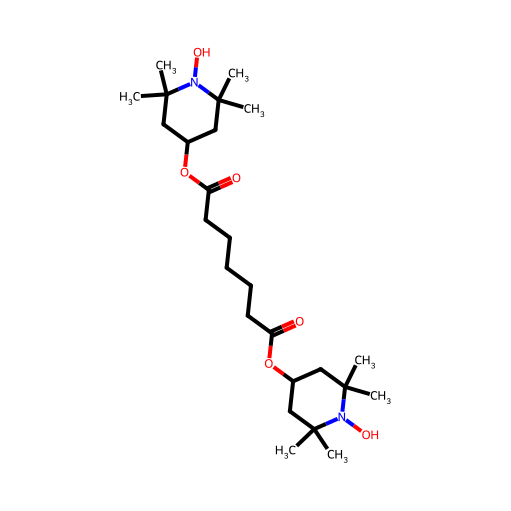 CC1(C)CC(OC(=O)CCCCCC(=O)OC2CC(C)(C)N(O)C(C)(C)C2)CC(C)(C)N1O